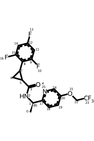 C[C@@H](NC(=O)C1CC1c1c(F)cc(F)cc1F)c1ccc(OCC(F)(F)F)cn1